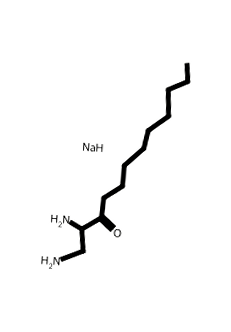 CCCCCCCCCC(=O)C(N)CN.[NaH]